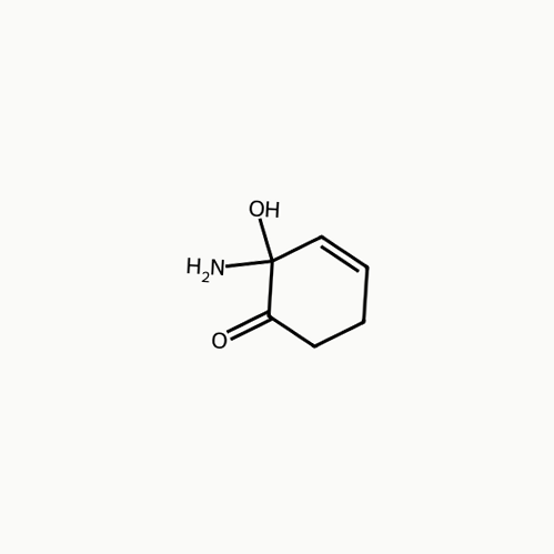 NC1(O)C=CCCC1=O